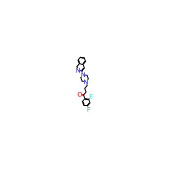 O=C(CCCN1CCN(c2cc3ccccc3cn2)CC1)c1ccc(F)cc1F